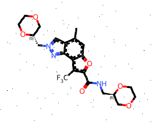 Cc1cc2oc(C(=O)NC[C@@H]3COCCO3)c(C(F)(F)F)c2c2nn(C[C@H]3COCCO3)cc12